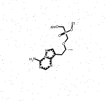 CCOP(=O)(COC)CO[C@H](C)Cc1cnn2c(N)ncnc12